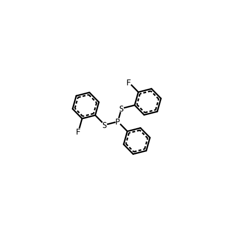 Fc1ccccc1SP(Sc1ccccc1F)c1ccccc1